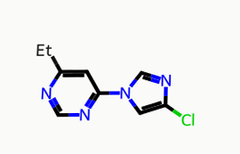 CCc1cc(-n2cnc(Cl)c2)ncn1